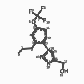 CCCc1cc(OC(F)(F)F)ccc1-n1cc(CO)nn1